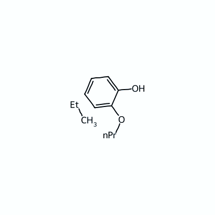 CCC.CCCOc1ccccc1O